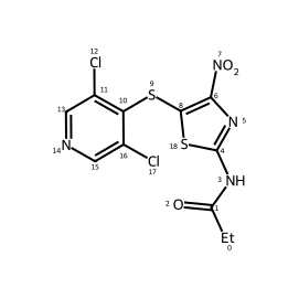 CCC(=O)Nc1nc([N+](=O)[O-])c(Sc2c(Cl)cncc2Cl)s1